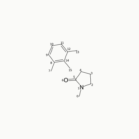 CN1CCCC1=O.Cc1cccc(C)c1C